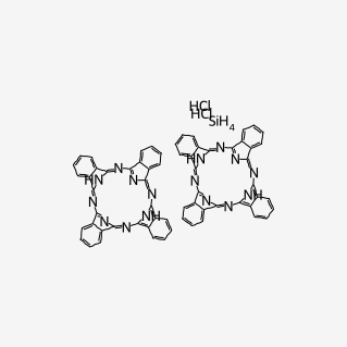 Cl.Cl.[SiH4].c1ccc2c(c1)-c1nc-2nc2[nH]c(nc3nc(nc4[nH]c(n1)c1ccccc41)-c1ccccc1-3)c1ccccc21.c1ccc2c(c1)-c1nc-2nc2[nH]c(nc3nc(nc4[nH]c(n1)c1ccccc41)-c1ccccc1-3)c1ccccc21